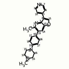 Cc1nc2c(-c3ccncc3)coc2cc1-c1ccc(N2CCN(C)CC2)cc1